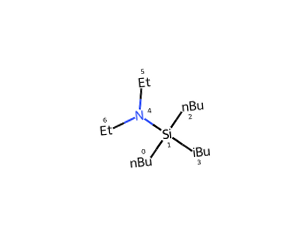 CCCC[Si](CCCC)(C(C)CC)N(CC)CC